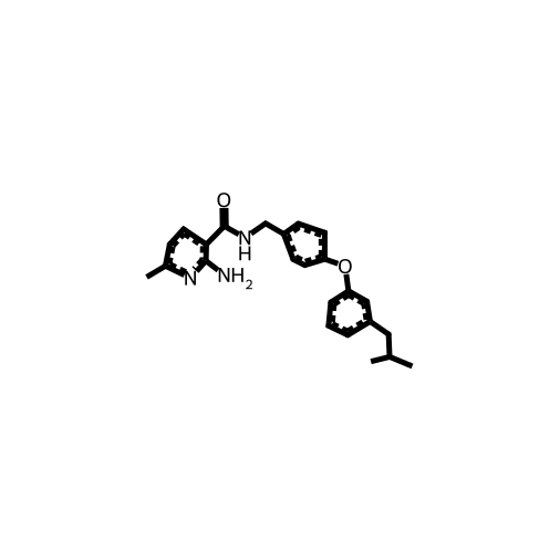 Cc1ccc(C(=O)NCc2ccc(Oc3cccc(CC(C)C)c3)cc2)c(N)n1